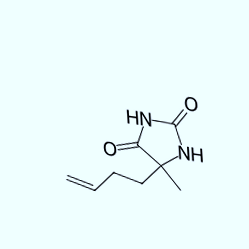 C=CCCC1(C)NC(=O)NC1=O